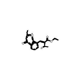 CCOC(=O)/C(=C/c1cccc2c(=O)cc(C)oc12)C(C)=O